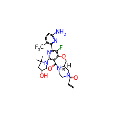 C=CC(=O)N1CCN2C(=O)c3c(N4CC(O)CC4(C)C)nc(-c4nc(N)ccc4C(F)(F)F)c(F)c3OC[C@H]2C1